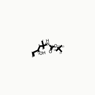 C=CC(O)CC(C)(C)NC(=O)OC(C)(C)C